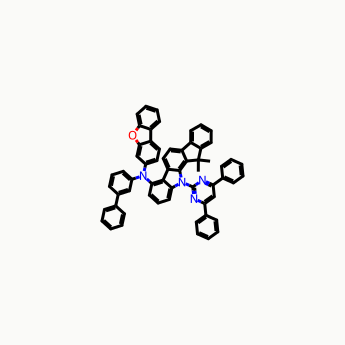 CC1(C)c2ccccc2-c2ccc3c4c(N(c5cccc(-c6ccccc6)c5)c5ccc6c(c5)oc5ccccc56)cccc4n(-c4nc(-c5ccccc5)cc(-c5ccccc5)n4)c3c21